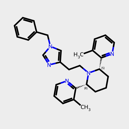 Cc1cccnc1[C@H]1CCC[C@@H](c2ncccc2C)N1CCc1cn(Cc2ccccc2)cn1